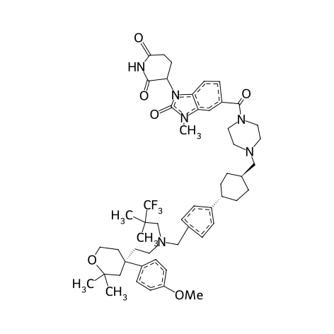 COc1ccc([C@]2(CCN(Cc3ccc([C@H]4CC[C@H](CN5CCN(C(=O)c6ccc7c(c6)n(C)c(=O)n7C6CCC(=O)NC6=O)CC5)CC4)cc3)CC(C)(C)C(F)(F)F)CCOC(C)(C)C2)cc1